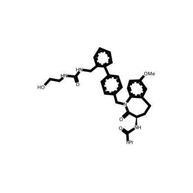 CCCC(=O)N[C@@H]1CCc2cc(OC)ccc2N(Cc2ccc(-c3ccccc3CNC(=O)NCCO)cc2)C1=O